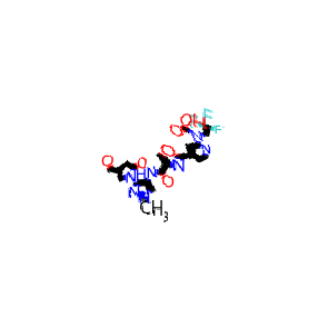 Cn1cc(NC(=O)c2coc(-c3ccnc(N(CC(F)(F)F)C(=O)O)c3)n2)c(N2CC(C=O)CC2=O)n1